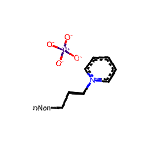 CCCCCCCCCCCC[n+]1ccccc1.[O-][I+3]([O-])([O-])[O-]